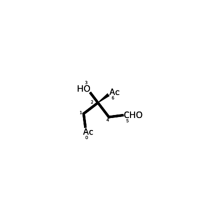 CC(=O)C[C@](O)(CC=O)C(C)=O